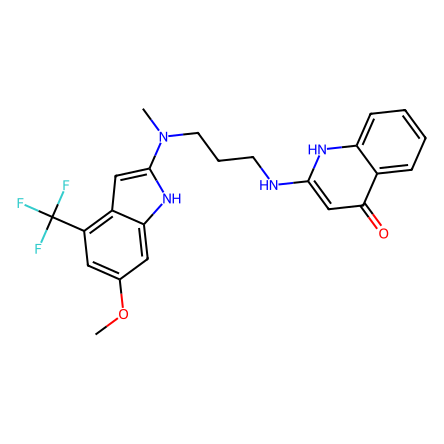 COc1cc(C(F)(F)F)c2cc(N(C)CCCNc3cc(=O)c4ccccc4[nH]3)[nH]c2c1